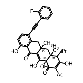 CC(=O)C1=C(O)C(C(C)C)[C@@]2(C)C[C@@]3(C)Cc4c(C#Cc5ccccc5F)ccc(O)c4C(=O)C3=C(O)[C@@]2(O)C1=O